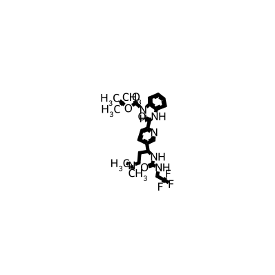 CN(C)CCC(NC(=O)NCC(F)(F)F)c1ccc(C(=O)Nc2ccccc2NC(=O)OC(C)(C)C)nc1